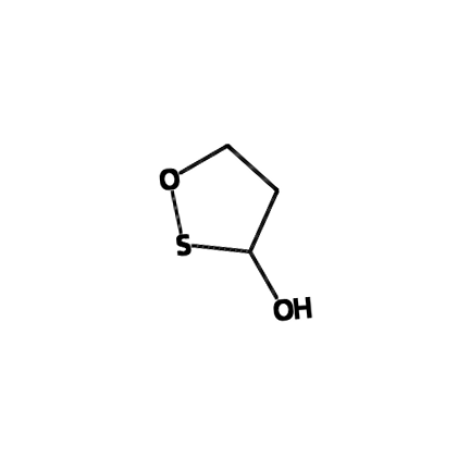 OC1CCOS1